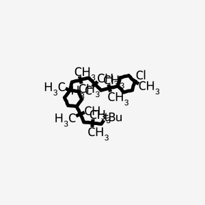 CC(C)(C)CC(C)(C)CC(C)(C)C1CCC(C)(CC(C)(C)CC(C)(C)CC(C)(C)C2CCC(C)(Cl)CC2)CC1